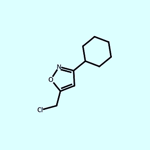 ClCc1cc(C2CCCCC2)no1